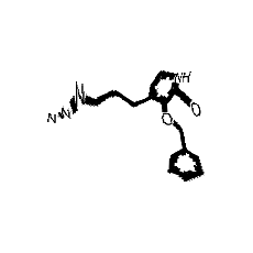 [N-]=[N+]=NCCCc1cc[nH]c(=O)c1OCc1ccccc1